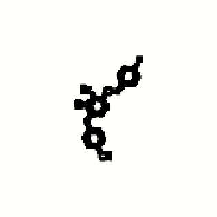 N#Cc1ccc(Cn2ccc(OCc3ccc(F)cc3)c(Br)c2=O)cc1